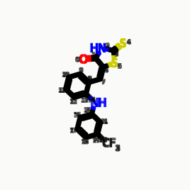 O=C1NC(=S)S/C1=C/c1ccccc1Nc1cccc(C(F)(F)F)c1